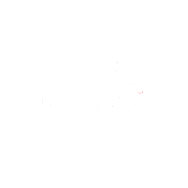 CCCCC(CC)CC(C)(C)[Si](OC(=O)/C=C\C(=O)O)(C(C)C)C(C)C